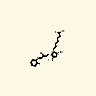 O=C(O)CCCCCC[C@@H]1[C@@H](CCC(O)/C=N/c2ccccc2F)[C@H](O)C[C@@H]1O